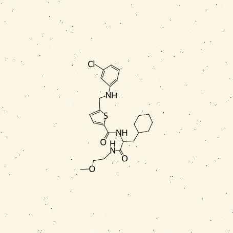 COCCNC(=O)C(CC1CCCCC1)NC(=O)c1ccc(CNc2cccc(Cl)c2)s1